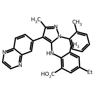 CCc1cc(C)c(Nc2c(-c3ccc4nccnc4c3)c(C)nn2-c2ccccc2C)c(C(=O)O)c1